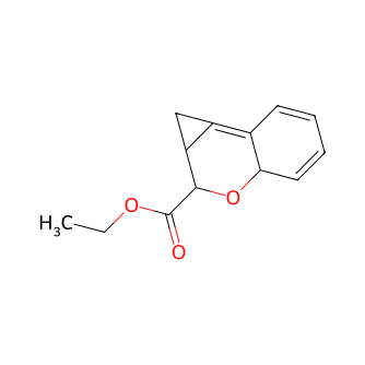 CCOC(=O)C1OC2C=CC=CC2=C2CC21